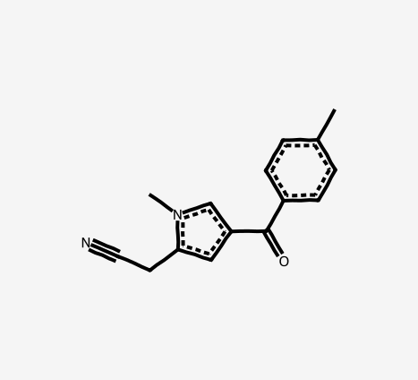 Cc1ccc(C(=O)c2cc(CC#N)n(C)c2)cc1